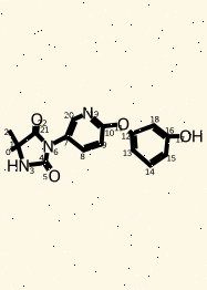 CC1(C)NC(=O)N(c2ccc(Oc3cccc(O)c3)nc2)C1=O